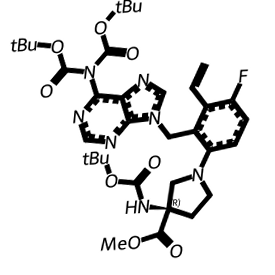 C=Cc1c(F)ccc(N2CC[C@](NC(=O)OC(C)(C)C)(C(=O)OC)C2)c1Cn1cnc2c(N(C(=O)OC(C)(C)C)C(=O)OC(C)(C)C)ncnc21